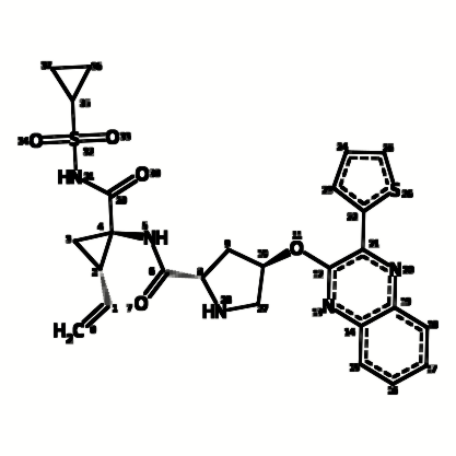 C=C[C@@H]1C[C@]1(NC(=O)[C@@H]1C[C@@H](Oc2nc3ccccc3nc2-c2cccs2)CN1)C(=O)NS(=O)(=O)C1CC1